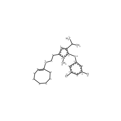 CC(C)c1nc(CCOC2=CCCCCCC2)n(C)c1Sc1cc(Cl)cc(Cl)c1